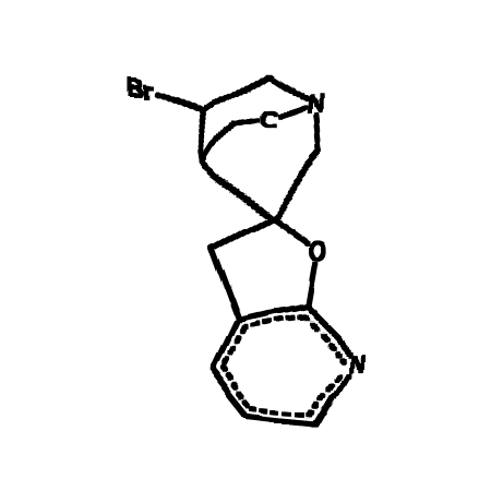 BrC1CN2CCC1C1(Cc3cccnc3O1)C2